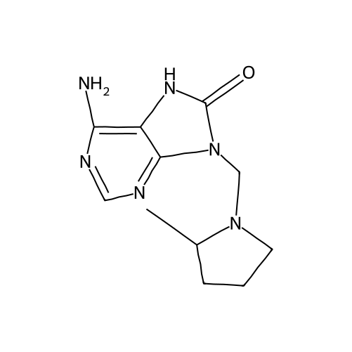 CC1CCCN1Cn1c(=O)[nH]c2c(N)ncnc21